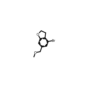 COCc1cc(Br)c2c(c1)OCC2